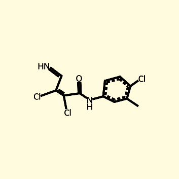 Cc1cc(NC(=O)/C(Cl)=C(/Cl)C=N)ccc1Cl